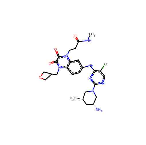 CNC(=O)CCn1c(=O)c(=O)n(CC2COC2)c2ccc(Nc3nc(N4C[C@@H](C)C[C@@H](N)C4)ncc3Cl)cc21